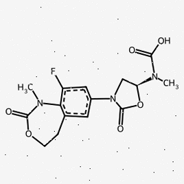 CN1C(=O)OCCc2cc(N3C[C@@H](N(C)C(=O)O)OC3=O)cc(F)c21